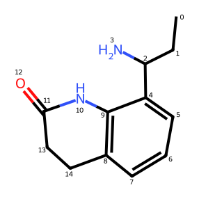 CCC(N)c1cccc2c1NC(=O)CC2